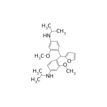 COc1cc(NC(C)C)ccc1C(c1ccco1)c1ccc(NC(C)C)cc1OC